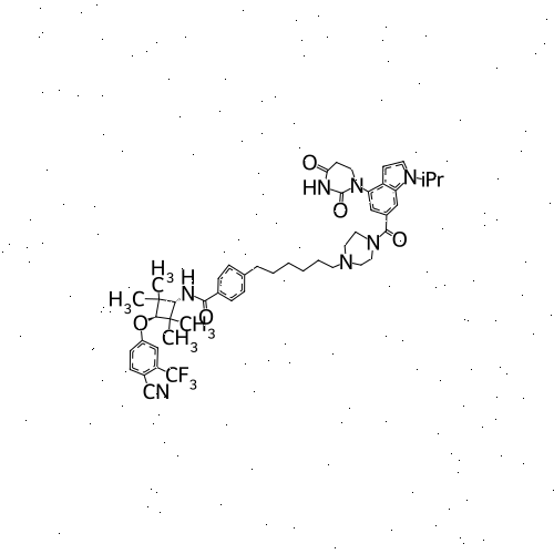 CC(C)n1ccc2c(N3CCC(=O)NC3=O)cc(C(=O)N3CCN(CCCCCCc4ccc(C(=O)N[C@H]5C(C)(C)[C@H](Oc6ccc(C#N)c(C(F)(F)F)c6)C5(C)C)cc4)CC3)cc21